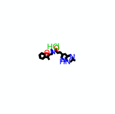 Cc1c(CN(C)C(=O)/C=C/C2=CN=C3NCC(C)N(C)C=C3C2)oc2ccccc12.Cl